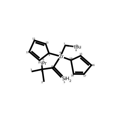 CC(C)C(C)(C)[C](=[SiH2])[Zr]([CH2]C(C)(C)C)([CH]1C=CC=C1)[CH]1C=CC=C1